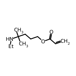 C=CC(=O)OCCCC(C)(C)NCC